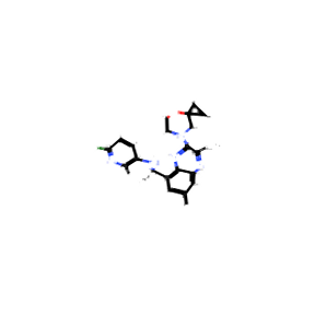 Cc1cc([C@@H](C)Nc2ccc(Cl)nc2C(=O)O)c2nc(N3CCOC4(CC4)C3)c(C#N)nc2c1